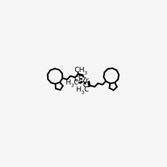 C[CH]=[Zr]([Cl])([Cl])([CH]=C(C)CCCC1CCCCCCCC2CCCC12)[CH]=C(C)CCCC1CCCCCCCC2CCCC12